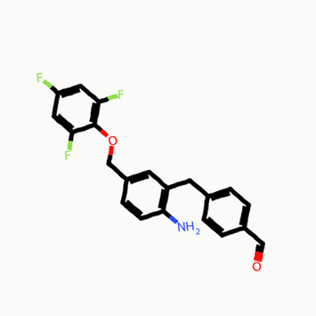 Nc1ccc(COc2c(F)cc(F)cc2F)cc1Cc1ccc(C=O)cc1